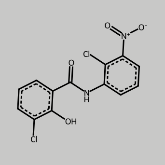 O=C(Nc1cccc([N+](=O)[O-])c1Cl)c1cccc(Cl)c1O